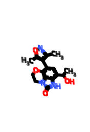 Cc1noc(C)c1-c1cc(C(C)O)c2[nH]c(=O)n3c2c1OCC3